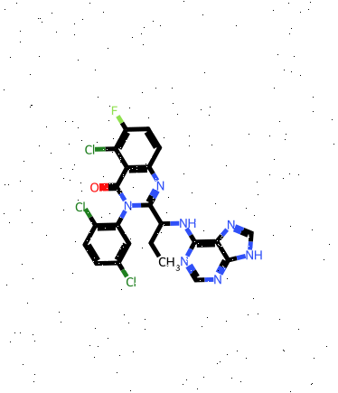 CCC(Nc1ncnc2[nH]cnc12)c1nc2ccc(F)c(Cl)c2c(=O)n1-c1cc(Cl)ccc1Cl